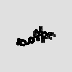 CC(C)CC1NC(=O)C(C(=O)Nc2ccc(CN3CCS(=O)(=O)CC3)cc2)=C1O